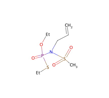 C=CCN(P(=O)(OCC)SCC)S(C)(=O)=O